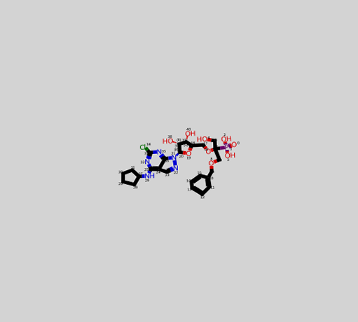 O=P(O)(O)C(CO)(COCc1ccccc1)OCC1O[C@@H](n2ncc3c(NC4CCCC4)nc(Cl)nc32)[C@H](O)[C@@H]1O